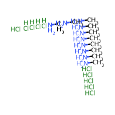 CN.CN.CN.CN.CN.CN.CN.CN.CN.CN.Cl.Cl.Cl.Cl.Cl.Cl.Cl.Cl.Cl.Cl